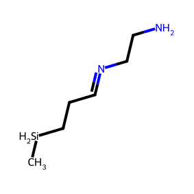 C[SiH2]CCC=NCCN